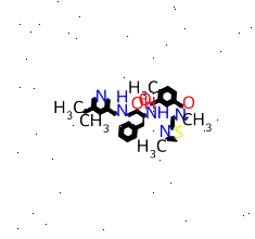 Cc1csc(CN(C)C(=O)c2ccc(C)c(C(=O)N[C@@H](Cc3ccccc3)[C@H](O)CNCc3cncc(C(C)C)c3)c2)n1